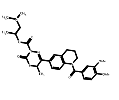 COc1ccc(C(=O)N2CCCc3cc(C4=NN(C(=O)OC(C)CN(C)C)C(=O)SC4C)ccc32)cc1OC